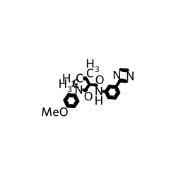 C=C(C)C(C(=O)Nc1cccc(-c2cnccn2)c1)C(=O)N(C)c1ccc(OC)cc1